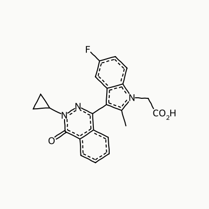 Cc1c(-c2nn(C3CC3)c(=O)c3ccccc23)c2cc(F)ccc2n1CC(=O)O